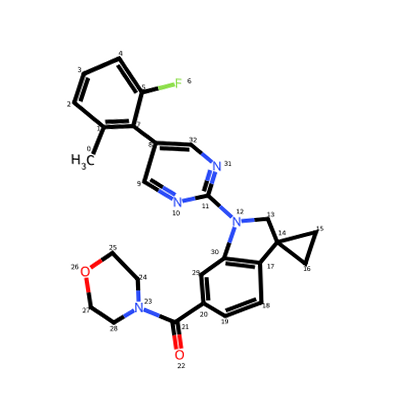 Cc1cccc(F)c1-c1cnc(N2CC3(CC3)c3ccc(C(=O)N4CCOCC4)cc32)nc1